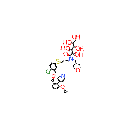 O=C([C@@H](O)[C@@H](O)[C@H](O)[C@@H](O)CO)N(CCCSc1ccc(Cl)c(COC2(c3cnccc3-c3ccccc3OC3CC3)CC2)c1)CC1CCOCC1